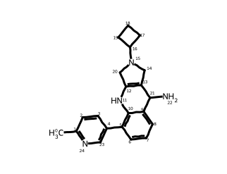 Cc1ccc(-c2cccc3c2NC2=C(CN(C4CCC4)C2)C3N)cn1